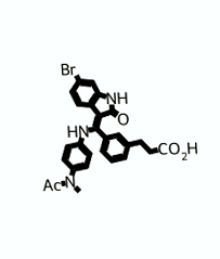 CC(=O)N(C)c1ccc(NC(=C2C(=O)Nc3cc(Br)ccc32)c2cccc(CCC(=O)O)c2)cc1